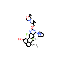 C#Cc1c(C)ccc2cc(O)cc(-c3c(F)cc4c(N5CC6CCC(C5)N6)nc(OCC5(CN6CCOC7(CC7)C6)CC5)nc4c3F)c12